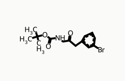 CC(C)(C)OC(=O)NCC(=O)Cc1cccc(Br)c1